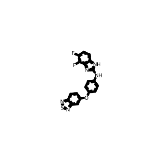 Fc1ccc2[nH]c(Nc3ccc(Oc4ccc5nsnc5c4)cc3)nc2c1F